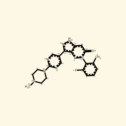 Cc1cccc(F)c1-n1nc2c(-c3cnc(N4CCN(C)CC4)nc3)n[nH]c2cc1=O